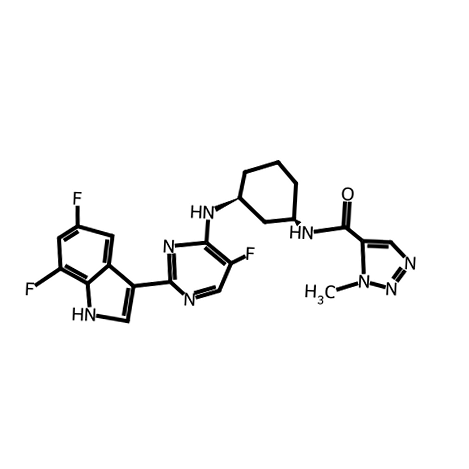 Cn1nncc1C(=O)N[C@@H]1CCC[C@H](Nc2nc(-c3c[nH]c4c(F)cc(F)cc34)ncc2F)C1